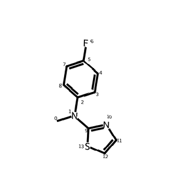 CN(c1ccc(F)cc1)c1nccs1